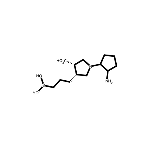 NC1CCCC1N1C[C@H](CCCB(O)O)[C@H](C(=O)O)C1